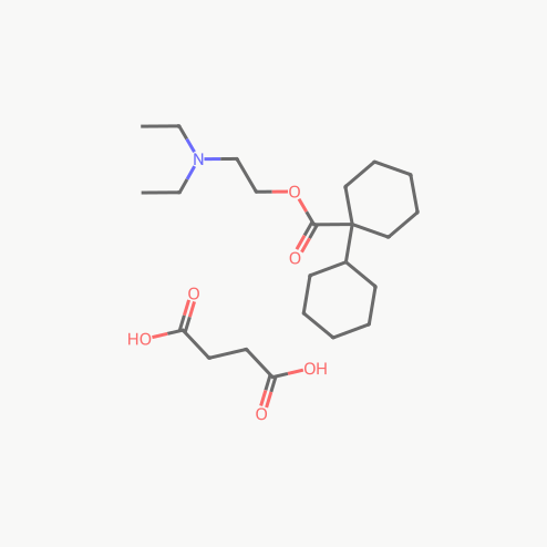 CCN(CC)CCOC(=O)C1(C2CCCCC2)CCCCC1.O=C(O)CCC(=O)O